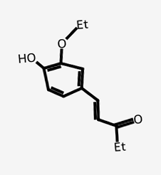 CCOc1cc(C=CC(=O)CC)ccc1O